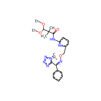 CCOC(OCC)C(C)(C)C(=O)Nc1cccc(CO/N=C(/c2ccccc2)c2nnnn2C)n1